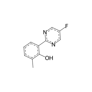 Cc1cccc(-c2ncc(F)cn2)c1O